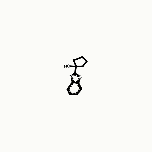 OC1(c2nc3ccccc3s2)CCCC1